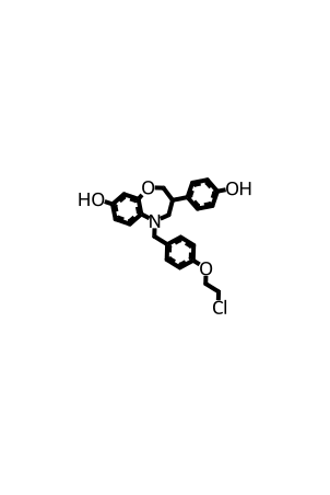 Oc1ccc(C2COc3cc(O)ccc3N(Cc3ccc(OCCCl)cc3)C2)cc1